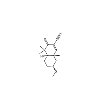 CO[C@H]1CC[C@@H]2C(C)(C)C(=O)C(C#N)=C[C@]2(C)C1